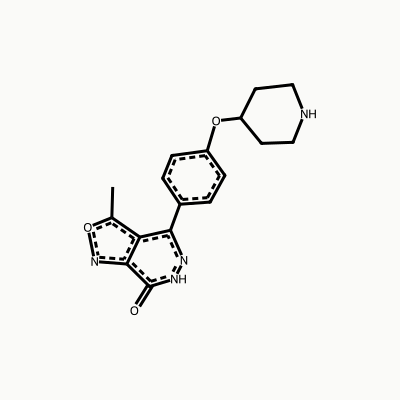 Cc1onc2c(=O)[nH]nc(-c3ccc(OC4CCNCC4)cc3)c12